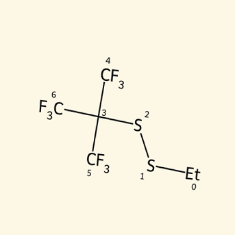 CCSSC(C(F)(F)F)(C(F)(F)F)C(F)(F)F